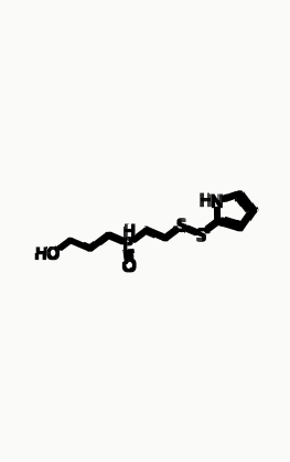 O=[PH](CCCO)CCSSc1ccc[nH]1